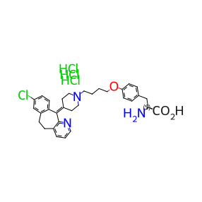 Cl.Cl.Cl.N[C@@H](Cc1ccc(OCCCCN2CCC(=C3c4ccc(Cl)cc4CCc4cccnc43)CC2)cc1)C(=O)O